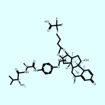 CCCC1O[C@@H]2C[C@H]3[C@@H]4C[C@H](F)C5=CC(=O)C=C[C@]5(C)[C@@]4(F)[C@@H](O)C[C@]3(C)[C@]2(C(=O)COc2ccc(NC(=O)[C@H](C)NC(=O)[C@@H](N)C(C)C)cc2)O1.O=C(O)C(F)(F)F